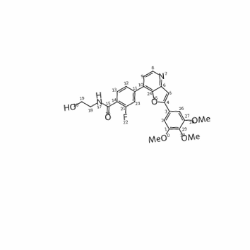 COc1cc(-c2cc3nccc(-c4ccc(C(=O)NCCO)c(F)c4)c3o2)cc(OC)c1OC